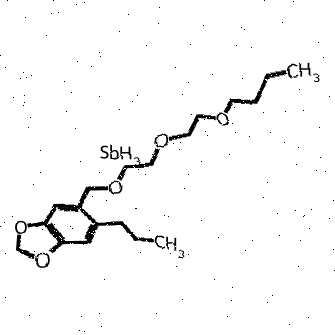 CCCCOCCOCCOCc1cc2c(cc1CCC)OCO2.[SbH3]